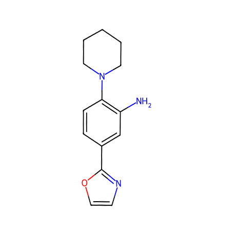 Nc1cc(-c2ncco2)ccc1N1CCCCC1